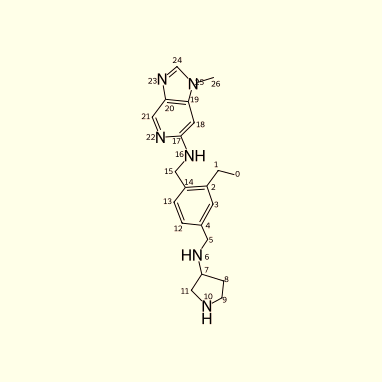 CCc1cc(CNC2CCNC2)ccc1CNc1cc2c(cn1)ncn2C